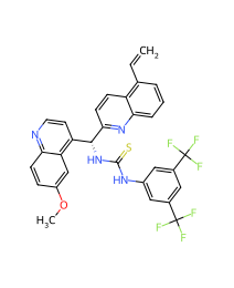 C=Cc1cccc2nc([C@H](NC(=S)Nc3cc(C(F)(F)F)cc(C(F)(F)F)c3)c3ccnc4ccc(OC)cc34)ccc12